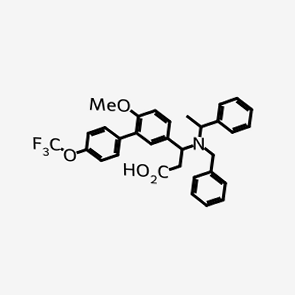 COc1ccc(C(CC(=O)O)N(Cc2ccccc2)C(C)c2ccccc2)cc1-c1ccc(OC(F)(F)F)cc1